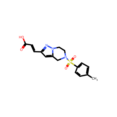 Cc1ccc(S(=O)(=O)N2CCn3nc(/C=C/C(=O)O)cc3C2)cc1